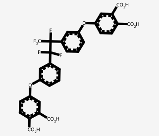 O=C(O)c1ccc(Oc2cccc(C(F)(F)C(F)(c3cccc(Oc4ccc(C(=O)O)c(C(=O)O)c4)c3)C(F)(F)F)c2)cc1C(=O)O